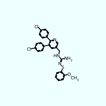 COc1ccccc1S/N=C(\N)NCc1cnc(-c2ccc(Cl)cc2)c(-c2ccc(Cl)cc2)c1